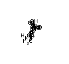 CCNC(=O)N(C)c1ccc(-c2nc3c(c(N4CCOCC4)n2)CCN(C(=O)O)C3)cc1